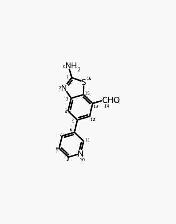 Nc1nc2cc(-c3cccnc3)cc(C=O)c2s1